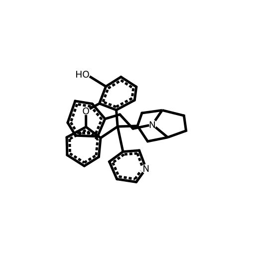 Oc1cccc2c1Oc1ccccc1C2(c1cccnc1)C1CC2CCC(C1)N2CCc1ccccc1